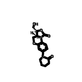 O=C1CCCCN1c1ccc2c(c1)OC[C@H]1[C@H](CO)OC(=O)N21